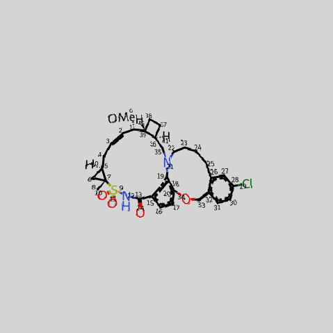 CO[C@H]1/C=C\C[C@@H]2C[C@@]2(C)S(=O)(=O)NC(=O)c2ccc3c(c2)N(CCCCc2cc(Cl)ccc2CO3)C[C@@H]2CC[C@H]21